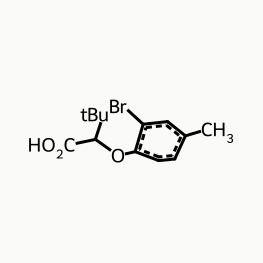 Cc1ccc(OC(C(=O)O)C(C)(C)C)c(Br)c1